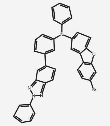 Brc1ccc2c(c1)oc1ccc(N(c3ccccc3)c3cccc(-c4ccc5nn(-c6ccccc6)nc5c4)c3)cc12